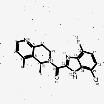 Cc1ccnc2c1[C@H](C)N(C(=O)c1nc3c(F)ccc(Cl)c3[nH]1)CC2